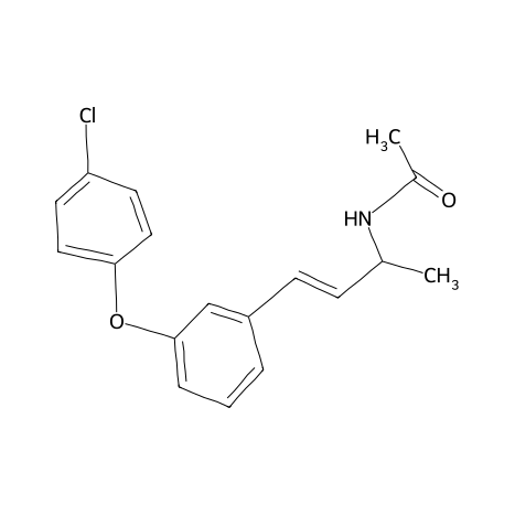 CC(=O)NC(C)/C=C/c1cccc(Oc2ccc(Cl)cc2)c1